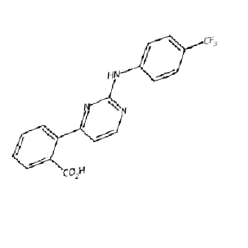 O=C(O)c1ccccc1-c1ccnc(Nc2ccc(C(F)(F)F)cc2)n1